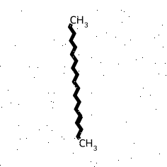 CCC/C=C/CCCCCCCCCCCCCC